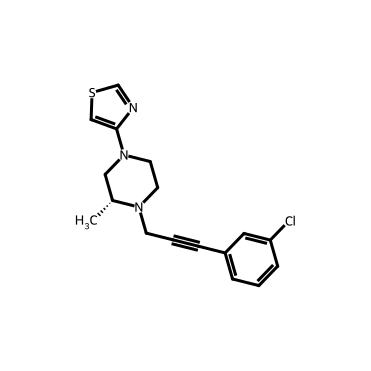 C[C@@H]1CN(c2cscn2)CCN1CC#Cc1cccc(Cl)c1